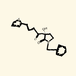 O=C(CCCc1cccs1)[C@@]1(O)CCN(Cc2ccccc2)C1=O